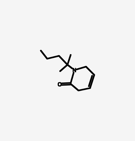 CCCC(C)(C)N1CC=CCC1=O